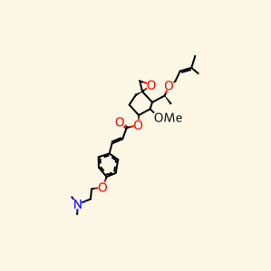 COC1C(OC(=O)/C=C/c2ccc(OCCN(C)C)cc2)CC[C@]2(CO2)C1[C@H](C)OCC=C(C)C